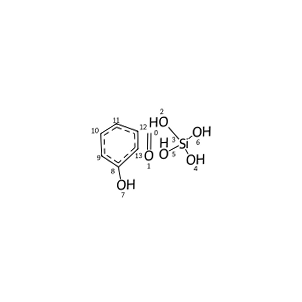 C=O.O[Si](O)(O)O.Oc1ccccc1